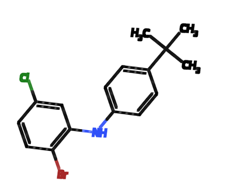 CC(C)(C)c1ccc(Nc2cc(Cl)ccc2Br)cc1